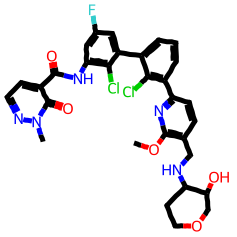 COc1nc(-c2cccc(-c3cc(F)cc(NC(=O)c4ccnn(C)c4=O)c3Cl)c2Cl)ccc1CNC1CCOCC1O